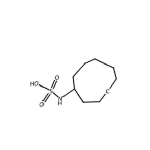 O=S(=O)(O)NC1CCCCCCCC1